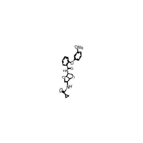 COc1cccc(Oc2ccccc2C(=O)NC2COC3C(NC(=O)C4CC4)COC23)c1